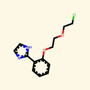 ClCCOCCOc1ccccc1-c1ncc[nH]1